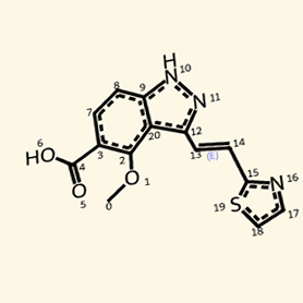 COc1c(C(=O)O)ccc2[nH]nc(/C=C/c3nccs3)c12